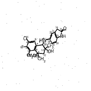 COc1c(F)c(Cl)cc2c1C(C)(C)CC(O)(C(F)(F)F)C2Nc1ccc2c(c1)CC(=O)N2